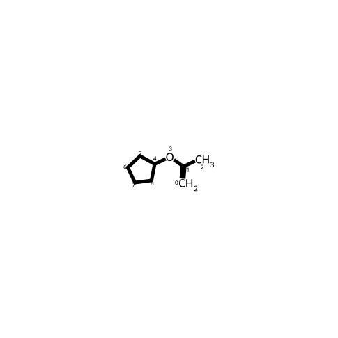 C=C(C)OC1CCCC1